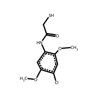 COc1cc(NC(=O)CS)c(OC)cc1Cl